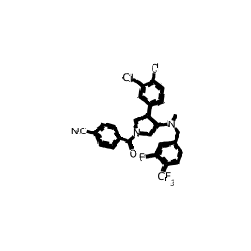 CN(Cc1ccc(C(F)(F)F)c(F)c1)C1CN(C(=O)c2ccc(C#N)cc2)CC1c1ccc(Cl)c(Cl)c1